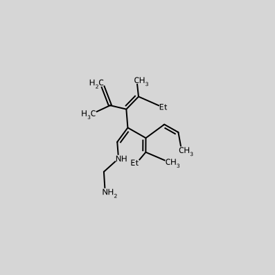 C=C(C)C(=C(\C)CC)/C(=C/NCN)C(/C=C\C)=C(/C)CC